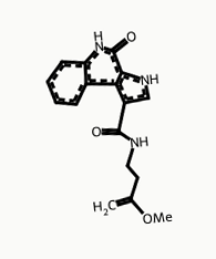 C=C(CCNC(=O)c1c[nH]c2c(=O)[nH]c3ccccc3c12)OC